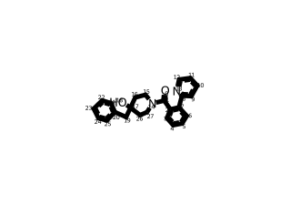 O=C(c1ccccc1-c1ccccn1)N1CCC(O)(Cc2ccccc2)CC1